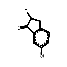 O=C1c2cc(O)ccc2CC1F